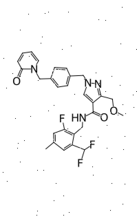 COCc1nn(Cc2ccc(Cn3ccccc3=O)cc2)cc1C(=O)NCc1c(F)cc(C)cc1C(F)F